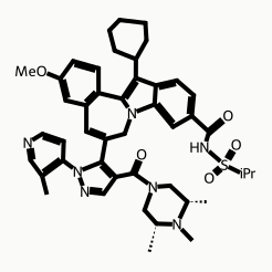 COc1ccc2c(c1)C=C(c1c(C(=O)N3C[C@@H](C)N(C)[C@@H](C)C3)cnn1-c1ccncc1C)Cn1c-2c(C2CCCCC2)c2ccc(C(=O)NS(=O)(=O)C(C)C)cc21